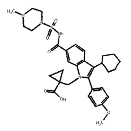 COc1ccc(-c2c(C3CCCCC3)c3ccc(C(=O)NS(=O)(=O)N4CCN(C)CC4)cc3n2CC2(C(=O)O)CC2)cc1